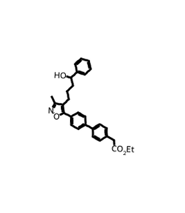 CCOC(=O)Cc1ccc(-c2ccc(-c3onc(C)c3CCCC(O)c3ccccc3)cc2)cc1